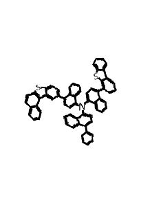 c1ccc(-c2ccc(N(c3ccc(-c4ccc5sc6ccc7ccccc7c6c5c4)c4ccccc34)c3ccc(-c4cccc5c4sc4ccccc45)c4ccccc34)c3ccccc23)cc1